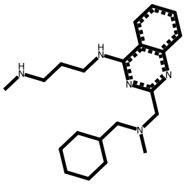 CNCCCNc1nc(CN(C)CC2CCCCC2)nc2ccccc12